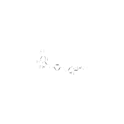 N=C/C=C1/N=CC(SCc2ccc(OC/C(C=N)=C3\N=CC(SCl)=CN3)cc2)=CN1